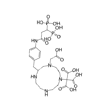 O=C(O)CN1CCN(C(C(=O)O)(C(=O)O)C(=O)O)CCNCCNC(Cc2ccc(NC(=O)CC(P(=O)(O)O)P(=O)(O)O)cc2)C1